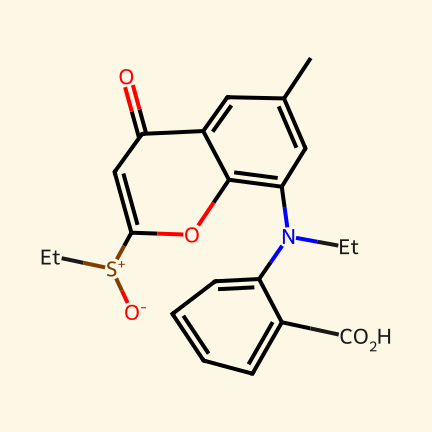 CCN(c1ccccc1C(=O)O)c1cc(C)cc2c(=O)cc([S+]([O-])CC)oc12